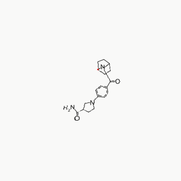 NC(=O)C1CCN(c2ccc(C(=O)N3CC4CCC(CC4)C3)cc2)C1